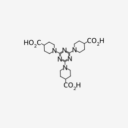 O=C(O)C1CCN(c2nc(N3CCC(C(=O)O)CC3)nc(N3CCC(C(=O)O)CC3)n2)CC1